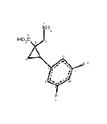 NCC1(C(=O)O)CC1c1cc(F)cc(F)c1